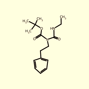 CCNC(=O)N(CCc1ccccc1)C(=O)OC(C)(C)C